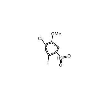 COc1cc([SH](=O)=O)c(F)cc1Cl